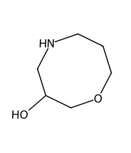 OC1CNCCCOC1